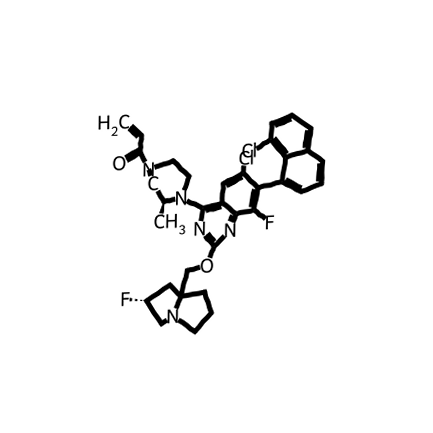 C=CC(=O)N1CCN(c2nc(OCC34CCCN3C[C@H](F)C4)nc3c(F)c(-c4cccc5cccc(Cl)c45)c(Cl)cc23)[C@@H](C)C1